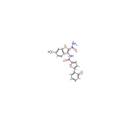 Cc1ccc2c(NC(=O)c3ccc(-c4ccccc4Cl)o3)c(C(N)=O)oc2c1